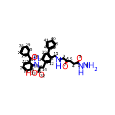 NNC(=O)CCC(=O)CNCc1cc(CC(Nc2ccccc2C(=O)c2ccccc2)C(=O)O)ccc1-c1ccccc1